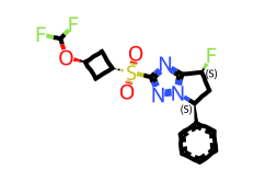 O=S(=O)(c1nc2n(n1)[C@H](c1ccccc1)C[C@@H]2F)[C@H]1C[C@H](OC(F)F)C1